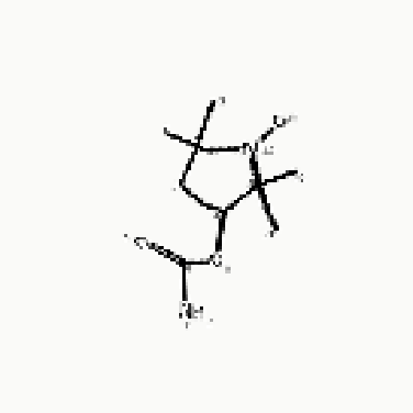 CC1(C)CC(OC(N)=O)C(C)(C)N1[O]